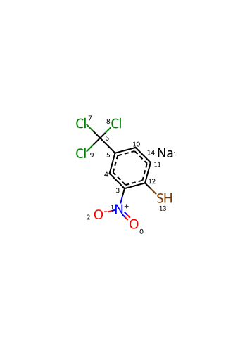 O=[N+]([O-])c1cc(C(Cl)(Cl)Cl)ccc1S.[Na]